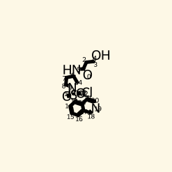 O=C(CCO)NC1CCN(S(=O)(=O)c2cccc3cncc(Cl)c23)C1